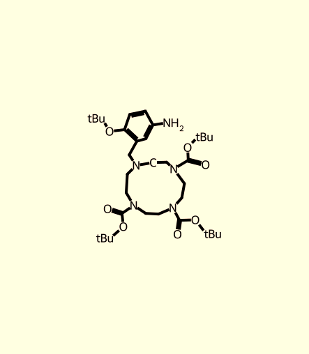 CC(C)(C)OC(=O)N1CCN(Cc2cc(N)ccc2OC(C)(C)C)CCN(C(=O)OC(C)(C)C)CCN(C(=O)OC(C)(C)C)CC1